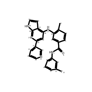 Cc1ccc(C(=O)Nc2cccc(F)c2)cc1Nc1cc(-c2cccnc2)nc2[nH]ccc12